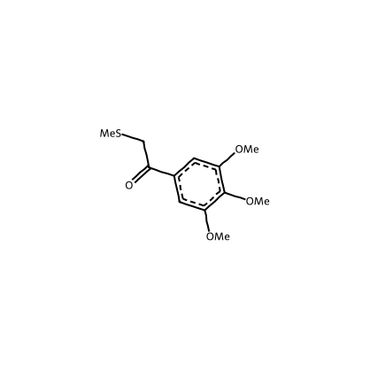 COc1cc(C(=O)CSC)cc(OC)c1OC